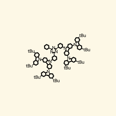 CC(C)(C)c1ccc2c(c1)c1cc(C(C)(C)C)ccc1n2-c1ccc2c(c1)c1cc(-n3c4ccc(C(C)(C)C)cc4c4cc(C(C)(C)C)ccc43)ccc1n2-c1cccc(-c2nc(-c3ccccc3)nc(-c3cccc(-n4c5ccc(-n6c7ccc(C(C)(C)C)cc7c7cc(C(C)(C)C)ccc76)cc5c5cc(-n6c7ccc(C(C)(C)C)cc7c7cc(C(C)(C)C)ccc76)ccc54)c3)n2)c1